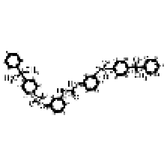 CC(C)(c1ccccc1)c1ccc(S(=O)(=O)Oc2cccc(NC(=O)Nc3cccc(OS(=O)(=O)c4ccc(C(C)(C)c5ccccc5)cc4)c3)c2)cc1